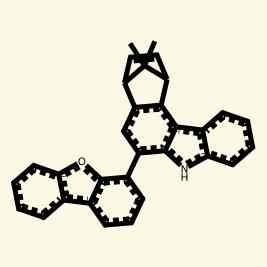 CC1(C)C2C=CC1c1c2cc(-c2cccc3c2oc2ccccc23)c2[nH]c3ccccc3c12